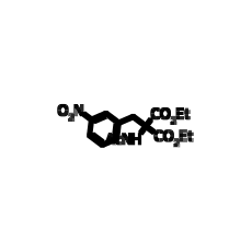 CCOC(=O)C(Cc1cccc([N+](=O)[O-])c1)(NC(C)=O)C(=O)OCC